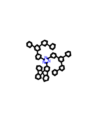 c1ccc(-c2cccc(-c3cc(-c4ccccc4)cc(-c4cccc(-c5nc(-c6cccc(-c7cc(-c8ccccc8)cc(-c8cccc(-c9ccccc9)c8)c7)c6)nc(-c6ccc7c(c6)C6(c8ccccc8-c8ccccc86)c6ccccc6-7)n5)c4)c3)c2)cc1